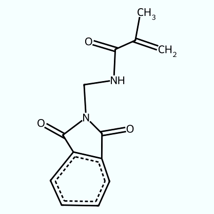 C=C(C)C(=O)NCN1C(=O)c2ccccc2C1=O